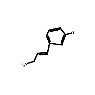 NC/C=C/c1cccc(Cl)c1